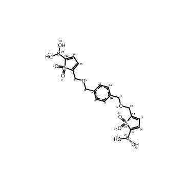 O=S1(=O)C(COCc2ccc(COCC3=CC=C(B(O)O)S3(=O)=O)cc2)=CC=C1B(O)O